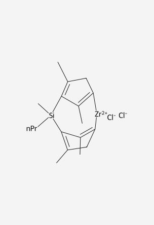 CCC[Si]1(C)C2=C(C)C[C](=C2C)[Zr+2][C]2=C(C)C1=C(C)C2.[Cl-].[Cl-]